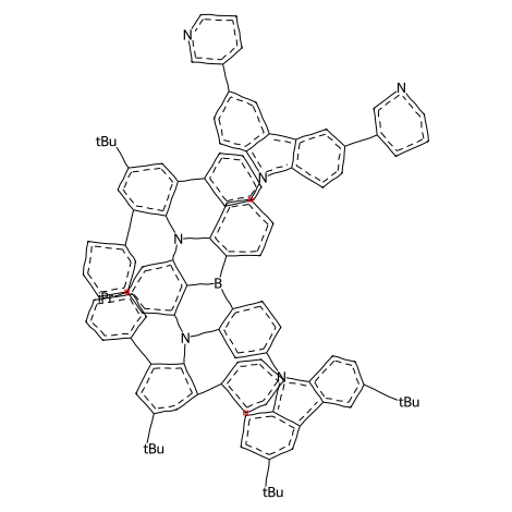 CC(C)c1cc2c3c(c1)N(c1c(-c4ccccc4)cc(C(C)(C)C)cc1-c1ccccc1)c1cc(-n4c5ccc(C(C)(C)C)cc5c5cc(C(C)(C)C)ccc54)ccc1B3c1ccc(-n3c4ccc(-c5cccnc5)cc4c4cc(-c5cccnc5)ccc43)cc1N2c1c(-c2ccccc2)cc(C(C)(C)C)cc1-c1ccccc1